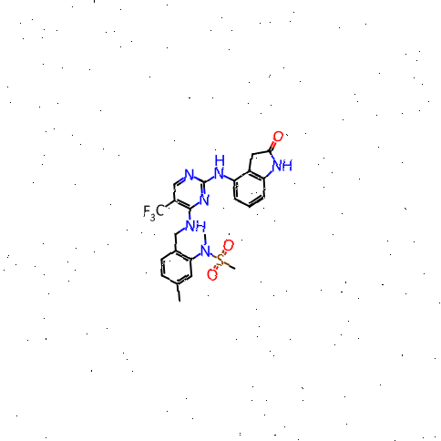 Cc1ccc(CNc2nc(Nc3cccc4c3CC(=O)N4)ncc2C(F)(F)F)c(N(C)S(C)(=O)=O)c1